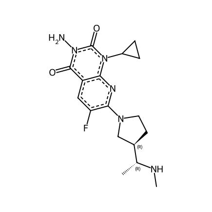 CN[C@H](C)[C@@H]1CCN(c2nc3c(cc2F)c(=O)n(N)c(=O)n3C2CC2)C1